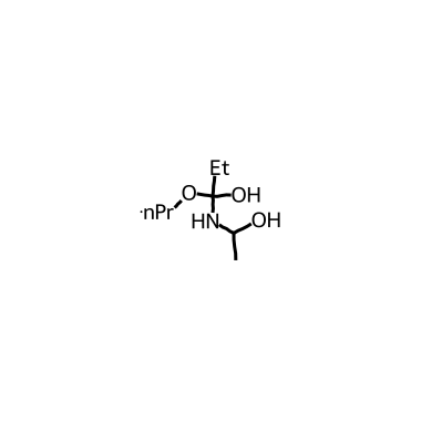 CC[CH]OC(O)(CC)NC(C)O